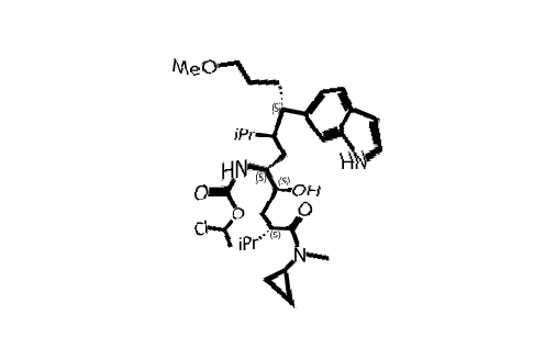 COCCC[C@H](c1ccc2cc[nH]c2c1)C(C[C@H](NC(=O)OC(C)Cl)[C@@H](O)C[C@H](C(=O)N(C)C1CC1)C(C)C)C(C)C